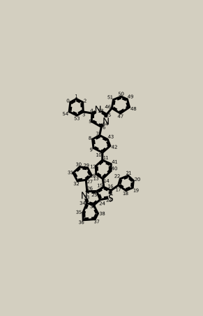 c1ccc(-c2cc(-c3ccc(-c4ccc(-c5c(-c6ccccc6)sc6c5c(-c5ccccc5)nc5ccccc56)cc4)cc3)nc(-c3ccccc3)n2)cc1